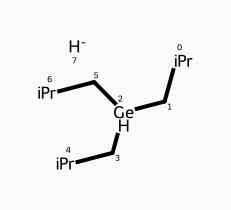 CC(C)[CH2][GeH]([CH2]C(C)C)[CH2]C(C)C.[H-]